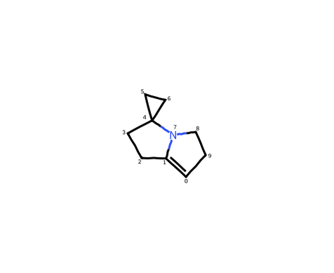 C1=C2CCC3(CC3)N2CC1